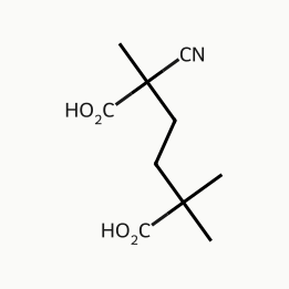 CC(C)(CCC(C)(C#N)C(=O)O)C(=O)O